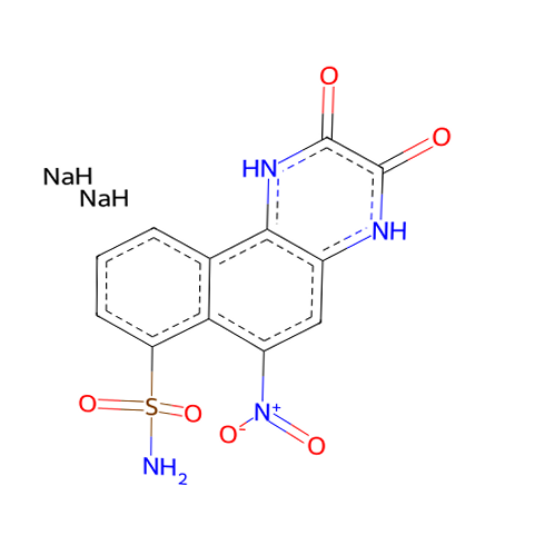 NS(=O)(=O)c1cccc2c1c([N+](=O)[O-])cc1[nH]c(=O)c(=O)[nH]c12.[NaH].[NaH]